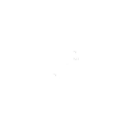 CN1Cc2cccc(N)c2C(=O)N1